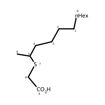 CCCCCCCCCCC(C)SCC(=O)O